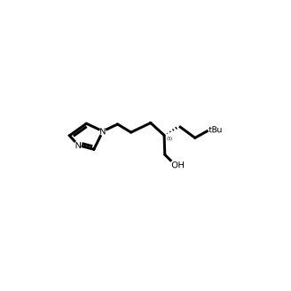 CC(C)(C)CC[C@H](CO)CCCn1ccnc1